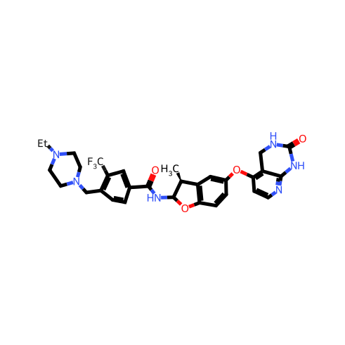 CCN1CCN(Cc2ccc(C(=O)NC3Oc4ccc(Oc5ccnc6c5CNC(=O)N6)cc4[C@@H]3C)cc2C(F)(F)F)CC1